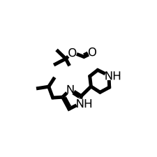 CC(C)(C)OC=O.CC(C)Cc1c[nH]c(C2CCNCC2)n1